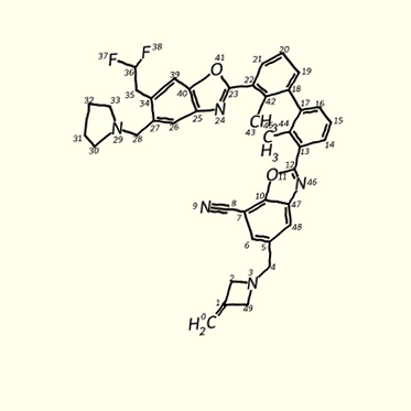 C=C1CN(Cc2cc(C#N)c3oc(-c4cccc(-c5cccc(-c6nc7cc(CN8CCCC8)c(CC(F)F)cc7o6)c5C)c4C)nc3c2)C1